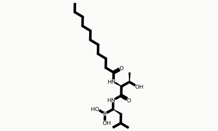 CCCCCCCCCCC(=O)N[C@H](C(=O)N[C@@H](CC(C)C)B(O)O)[C@@H](C)O